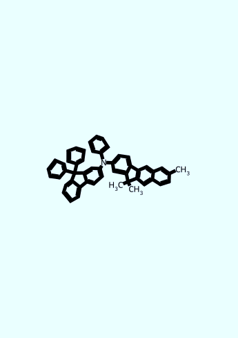 Cc1ccc2cc3c(cc2c1)-c1ccc(N(c2ccccc2)c2ccc4c(c2)C(c2ccccc2)(c2ccccc2)c2ccccc2-4)cc1C3(C)C